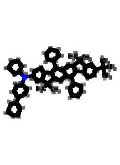 CC(C)(C)c1ccc2c(c1)C(C)(C)c1cc3c(-c4ccccc4)c4c(cc3c(-c3ccccc3)c1-2)C(C)(C)c1cc(N(c2ccccc2)c2ccc(-c3ccccc3)cc2)ccc1-4